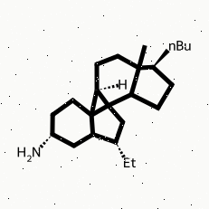 CCCC[C@H]1CCC2C1(C)CC[C@@H]1C34CC[C@@H](N)CC3[C@@H](CC)CC214